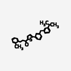 Cc1ccccc1CCC(=O)c1ccc(-c2cccc(Cc3cccc(C(C)C)c3)c2)s1